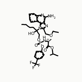 CCCCC(O)(COP(=O)(N[C@@H](C)C(=O)OC(C)C)Oc1ccc(C(F)(F)F)cc1)n1c(COCC)nc2c(N)nc3ccccc3c21